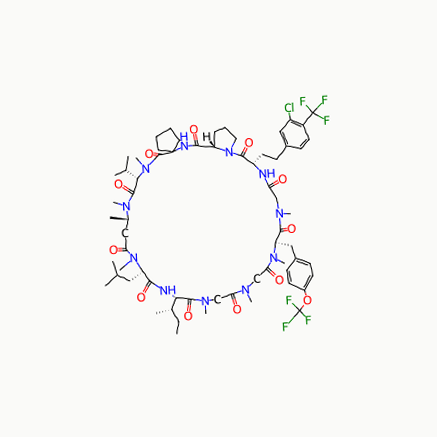 CC[C@H](C)[C@@H]1NC(=O)[C@H](CC(C)C)N(C)C(=O)C[C@@H](C)N(C)C(=O)[C@H](C(C)C)N(C)C(=O)C2(CCCC2)NC(=O)[C@@H]2CCCN2C(=O)[C@H](CCc2ccc(C(F)(F)F)c(Cl)c2)NC(=O)CN(C)C(=O)[C@H](Cc2ccc(OC(F)(F)F)cc2)N(C)C(=O)CN(C)C(=O)CN(C)C1=O